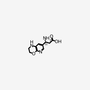 N[C@@H](CC(=O)O)c1cnc2c(c1)NCCO2